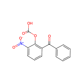 O=C(O)Oc1c(C(=O)c2ccccc2)cccc1[N+](=O)[O-]